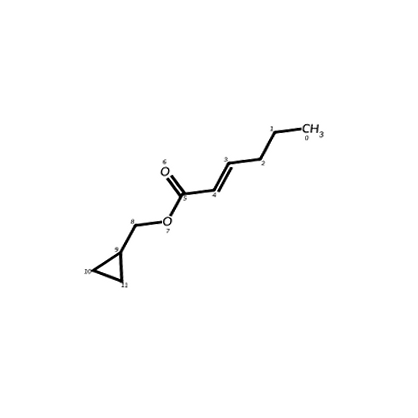 CCCC=CC(=O)OCC1CC1